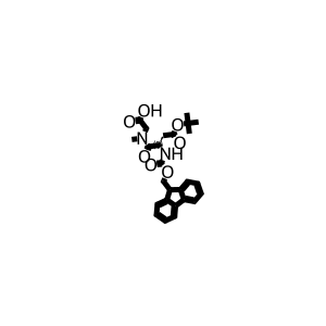 CN(CC(=O)O)C(=O)[C@H](CC(=O)OC(C)(C)C)NC(=O)OCC1c2ccccc2-c2ccccc21